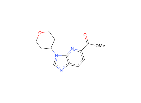 COC(=O)c1ccc2ncn(C3CCOCC3)c2n1